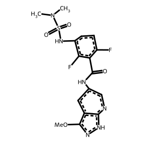 COc1n[nH]c2ncc(NC(=O)c3c(F)ccc(NS(=O)(=O)N(C)C)c3F)cc12